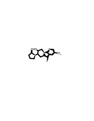 O=C1CCCN1C1Cc2c(F)c3cc(C(F)(F)F)cnc3n2CC1O